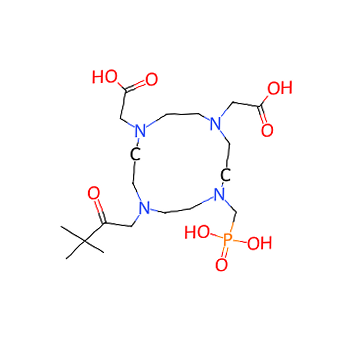 CC(C)(C)C(=O)CN1CCN(CC(=O)O)CCN(CC(=O)O)CCN(CP(=O)(O)O)CC1